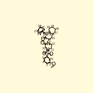 COc1cccc(S(=O)(=O)N2CCN(C(CC3CCCCC3)C(=O)Nc3nccs3)C(=O)C2)c1